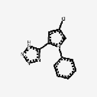 Clc1cc(-c2nnn[nH]2)n(-c2cc[c]cc2)c1